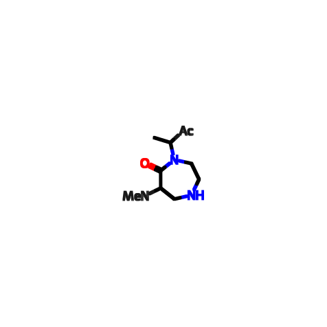 CNC1CNCCN(C(C)C(C)=O)C1=O